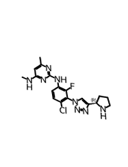 CNc1cc(C)nc(Nc2ccc(Cl)c(-n3cc([C@H]4CCCN4)nn3)c2F)n1